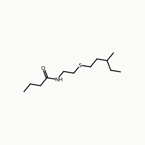 CCCC(=O)NCCSCCC(C)CC